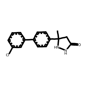 CC1(c2ccc(-c3cccc(Cl)c3)cc2)CC(=O)NN1